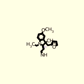 CCN1/C(=C\C=N)C(C)(Cc2ccco2)c2cc(OC)ccc21